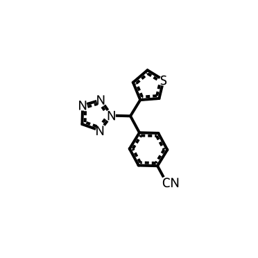 N#Cc1ccc(C(c2ccsc2)n2ncnn2)cc1